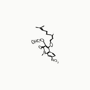 CC(C)=CCCC(C)=CCOc1c(OC=O)c(=O)n(C)c2cc([N+](=O)[O-])ccc12